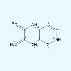 C1=CNOC=C1.C=C(C)C(N)=O